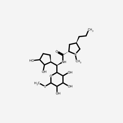 CCC[C@@H]1C[C@@H](C(=O)N[C@@H](C2OC(SC)C(O)C(O)C2O)[C@@H]2CCC(O)C2O)N(C)C1